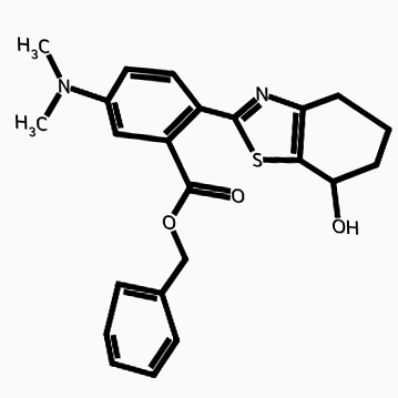 CN(C)c1ccc(-c2nc3c(s2)C(O)CCC3)c(C(=O)OCc2ccccc2)c1